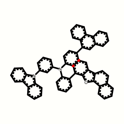 c1cc(N(c2ccc(-c3cc4ccccc4c4ccccc34)cc2)c2ccccc2-c2cccc3c2oc2c4ccccc4ccc32)cc(-n2c3ccccc3c3ccccc32)c1